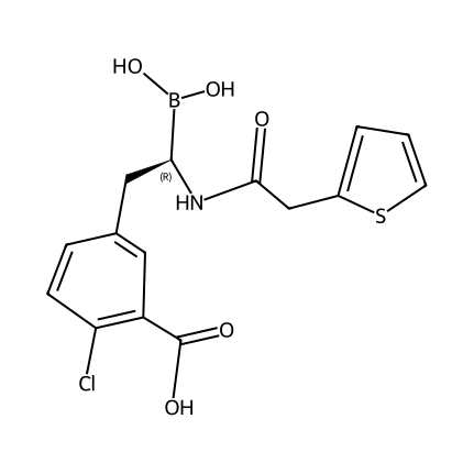 O=C(Cc1cccs1)N[C@@H](Cc1ccc(Cl)c(C(=O)O)c1)B(O)O